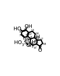 C[C@]12CC[C@@H]3c4ccc(O)c(O)c4CC[C@H]3[C@@H]1CCC2=O.O=S(=O)(O)O